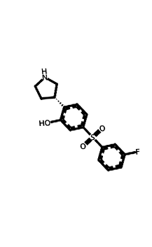 O=S(=O)(c1cccc(F)c1)c1ccc([C@@H]2CCNC2)c(O)c1